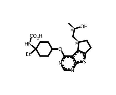 CCC1(NC(=O)O)CCC(Oc2ncnc3sc4c(c23)[C@@H](C[C@@H](C)O)CC4)CC1